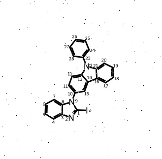 Ic1nc2ccccc2n1-c1ccc2c(c1)c1ccccc1n2-c1ccccc1